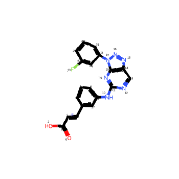 O=C(O)/C=C/c1cccc(Nc2ncc3nnn(-c4cccc(F)c4)c3n2)c1